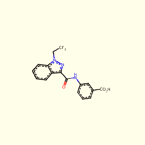 O=C(O)c1cccc(NC(=O)c2nn(CC(F)(F)F)c3ccccc23)c1